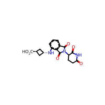 O=C1CCC(N2C(=O)c3cccc(N[C@H]4C[C@H](C(=O)O)C4)c3C2=O)C(=O)N1